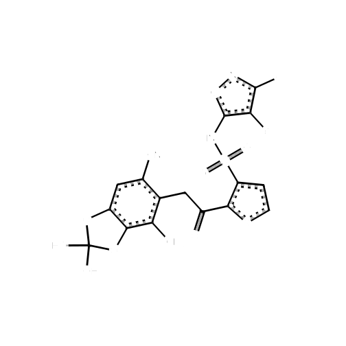 Cc1noc(NS(=O)(=O)c2ccsc2C(=O)Cc2c(C#N)cc3c(c2C)OC(O)(O)O3)c1Cl